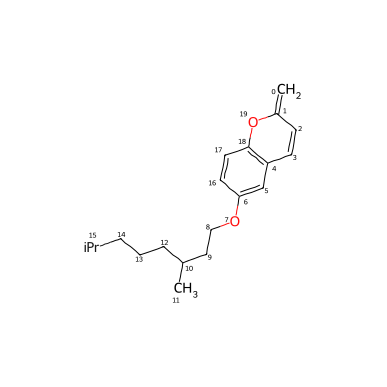 C=C1C=Cc2cc(OCCC(C)CCCC(C)C)ccc2O1